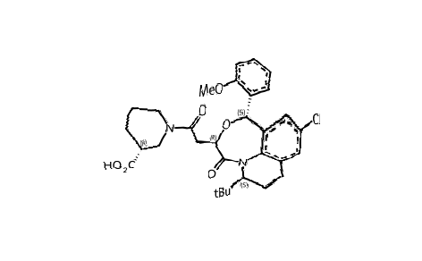 COc1ccccc1[C@H]1O[C@H](CC(=O)N2CCC[C@@H](C(=O)O)C2)C(=O)N2c3c(cc(Cl)cc31)CC[C@H]2C(C)(C)C